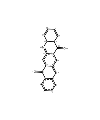 O=C1c2ccccc2N=c2cc3c(cc21)=NC1C=CC=CC1C3=O